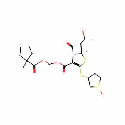 CCC(C)(CC)C(=O)OCOC(=O)C1=C(S[C@H]2CC[S@@+]([O-])C2)S[C@@H]2[C@@H]([C@@H](C)O)C(=O)N12